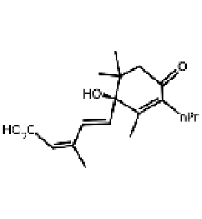 CCCC1=C(C)[C@](O)(/C=C/C(C)=C\C(=O)O)C(C)(C)CC1=O